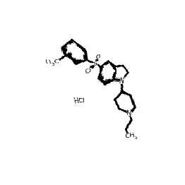 CCCN1CCC(N2CCc3cc(S(=O)(=O)c4cccc(C)c4)ccc32)CC1.Cl